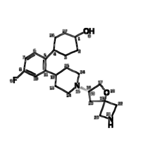 OC1CCC(c2ccc(F)cc2C2CCN([C@@H]3COC4(CNC4)C3)CC2)CC1